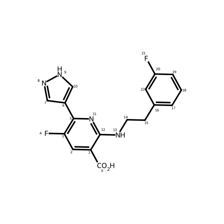 O=C(O)c1cc(F)c(-c2cn[nH]c2)nc1NCCc1cccc(F)c1